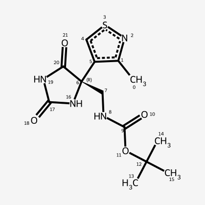 Cc1nscc1[C@]1(CNC(=O)OC(C)(C)C)NC(=O)NC1=O